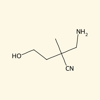 CC(C#N)(CN)CCO